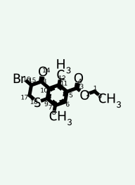 CCOC(=O)c1cc(C)c2c(c1C)C(=O)C(Br)CS2